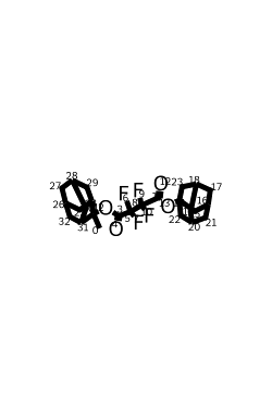 CC1(OC(=O)C(F)(F)C(F)(F)C(=O)OC23CC4CC(CC(C4)C2)C3)C2CC3CC(C2)CC1C3